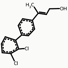 C/C(=C\CO)c1ccc(-c2cccc(Cl)c2Cl)cc1